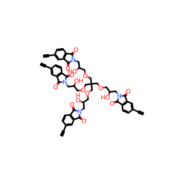 C#Cc1ccc2c(c1)C(=O)N(CC(O)COCC(COCC(O)CN1C(=O)c3ccc(C#C)cc3C1=O)(COCC(O)CN1C(=O)c3ccc(C#C)cc3C1=O)COCC(O)CN1C(=O)c3ccc(C#C)cc3C1=O)C2=O